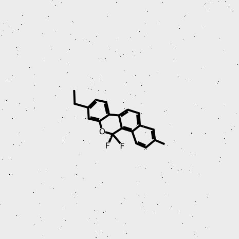 CCc1ccc2c(c1)OC(F)(F)c1c-2ccc2cc(C)ccc12